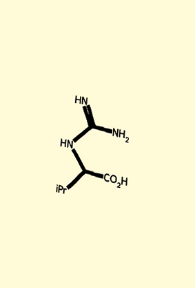 CC(C)C(NC(=N)N)C(=O)O